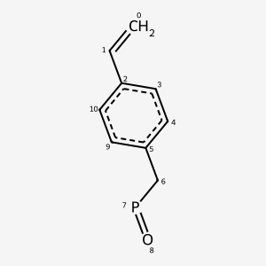 C=Cc1ccc(CP=O)cc1